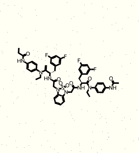 C=C([C@H](Cc1cc(F)cc(F)c1)NC(=O)CN1c2ccccc2N(CC(=O)N[C@@H](Cc2cc(F)cc(F)c2)C(=O)N(CC)c2ccc(NC(C)=O)cc2)S1(=O)=O)N(CC)c1ccc(NC(=O)CC)cc1